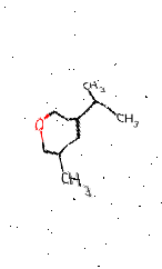 CC1COCC(C(C)C)C1